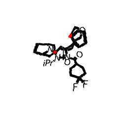 CC(C)N1C(=O)N(CC2CCOC2)CC12CC1CCC(C2)N1CC[C@H](NC(=O)C1CCC(F)(F)CC1)c1ccccc1